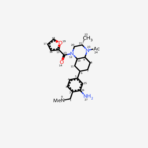 CNCc1ccc(C2CCC3C(C2)N(C(=O)c2ccco2)C[C@H](C)N3C(C)=O)cc1N